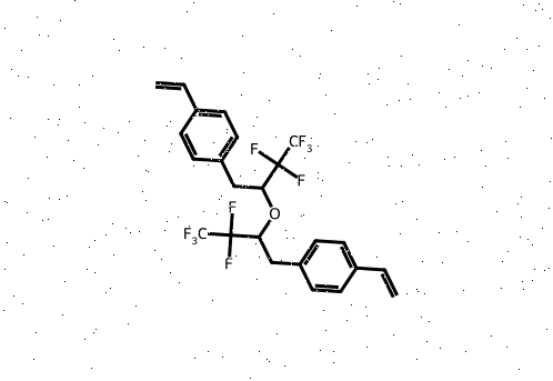 C=Cc1ccc(CC(OC(Cc2ccc(C=C)cc2)C(F)(F)C(F)(F)F)C(F)(F)C(F)(F)F)cc1